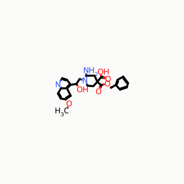 COc1ccc2nccc(C(O)CN3CCC(C(=O)O)(C(=O)OCc4ccccc4)CC3N)c2c1